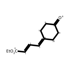 CCOC(=O)/C=C/C=C1CCC(=O)CC1